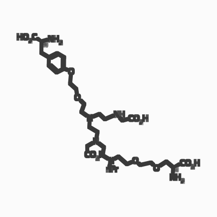 CCCN(CCOCCOC[C@H](N)C(=O)O)CCN(CCN(CCNCC(=O)O)CCOCCOc1ccc(C[C@H](N)C(=O)O)cc1)CC(=O)O